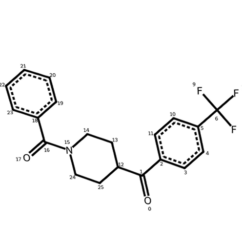 O=C(c1ccc(C(F)(F)F)cc1)C1CCN(C(=O)c2ccccc2)CC1